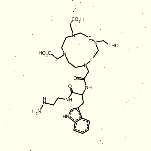 NNCCNC(=O)C(Cc1c[nH]c2ccccc12)NC(=O)CN1CCN(CC=O)CCN(CC(=O)O)CCN(CC(=O)O)CC1